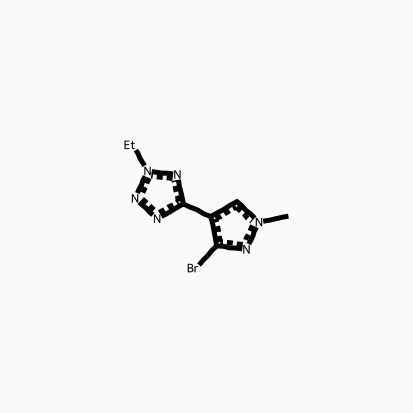 CCn1nnc(-c2cn(C)nc2Br)n1